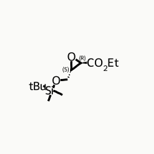 CCOC(=O)[C@@H]1O[C@H]1CO[Si](C)(C)C(C)(C)C